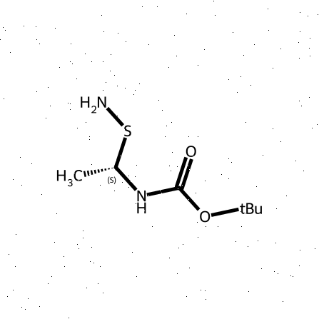 C[C@@H](NC(=O)OC(C)(C)C)SN